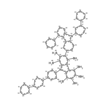 Bc1c(B)c(B)c2c(c1B)c1c(B)c(-c3ccc4c(c3)c3c(-c5ccccc5)cccc3n4-c3cccc(-c4ccccc4)c3)c(B)c(B)c1n2-c1ccc(-c2ccc(-c3ccccc3)cc2)cc1